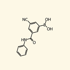 N#Cc1cc(B(O)O)cc(C(=O)Nc2ccccc2)c1